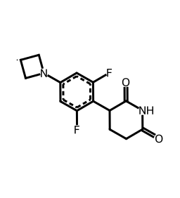 O=C1CCC(c2c(F)cc(N3C[CH]C3)cc2F)C(=O)N1